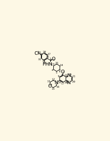 O=C(N[C@H]1CC[C@@H](Oc2cc(N3CCOCC3)cc3nccnc23)CC1)c1ccc(Cl)cc1F